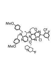 COc1ccc(CN(Cc2ccc(OC)cc2)c2ncccc2[C@@H](C)N2CCOc3nc(-c4cc(C)cc(C)c4C(F)(F)F)c(Cl)c4nc(OC[C@@]56CCCN5C[C@H](F)C6)nc2c34)cc1